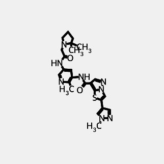 Cc1ncc(NC(=O)CN2CCCC2(C)C)cc1NC(=O)c1cnn2cc(-c3cnn(C)c3)sc12